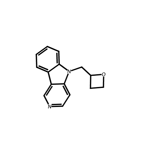 c1ccc2c(c1)c1cnccc1n2CC1CCO1